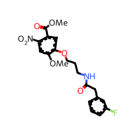 COC(=O)c1cc(OCCCNC(=O)Cc2cccc(F)c2)c(OC)cc1[N+](=O)[O-]